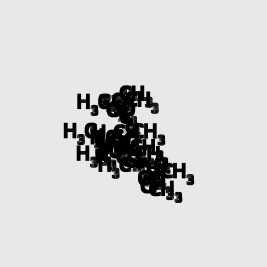 CC=C[Si](C)(C)OC(C)(O[Si](C)(C)C=C[Si](OC)(OC)OC)C(C)(C)[Si](C)(C)C=C[Si](OC)(OC)OC